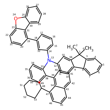 CC1(C)c2ccccc2-c2ccc(N(c3cccc(-c4cccc5oc6ccccc6c45)c3)c3ccccc3-c3cccc4cccc(C5CCCCC5)c34)cc21